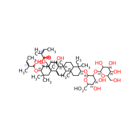 C/C=C(/C)C(=O)O[C@H]1[C@H](OC(=O)/C(C)=C\C)C2(CO)C(CC1(C)C)C1=CCC3[C@@]4(C)CC[C@H](O[C@@H]5OC(C(=O)O)[C@@H](O)[C@@H](O)C5O[C@@H]5OC(CO)[C@H](O)[C@@H](O)C5O)C(C)(C)C4CC[C@@]3(C)[C@]1(C)[C@@H](O)[C@H]2O